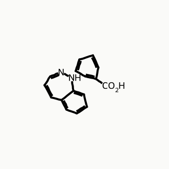 C1=Cc2ccccc2NN=C1.O=C(O)c1ccccc1